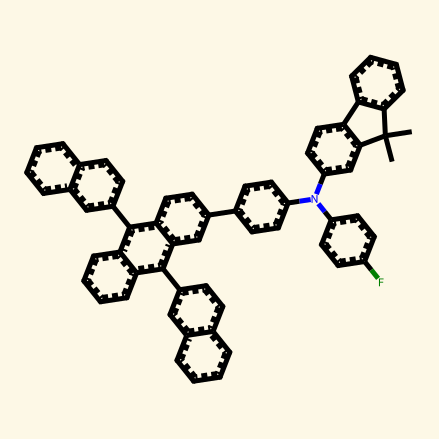 CC1(C)c2ccccc2-c2ccc(N(c3ccc(F)cc3)c3ccc(-c4ccc5c(-c6ccc7ccccc7c6)c6ccccc6c(-c6ccc7ccccc7c6)c5c4)cc3)cc21